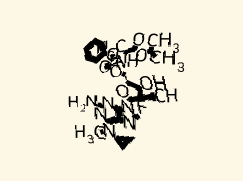 C#C[C@@]1(F)[C@H](O)[C@@H](CO[P@@](=O)(N[C@@H](C)C(=O)OC(C)C)Oc2ccccc2)O[C@H]1n1cnc2c(N(C)C3CC3)nc(N)nc21